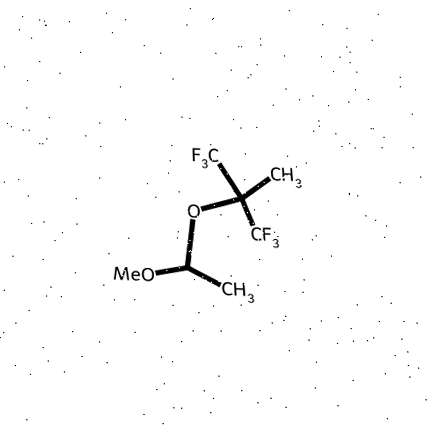 COC(C)OC(C)(C(F)(F)F)C(F)(F)F